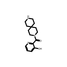 O=C(c1ncccc1O)N1CCC2(CCNCC2)CC1